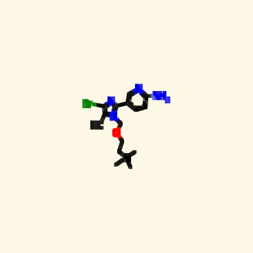 C[Si](C)(C)CCOCn1c(-c2ccc(N)nc2)nc(Br)c1C#N